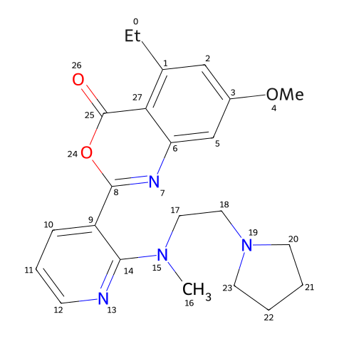 CCc1cc(OC)cc2nc(-c3cccnc3N(C)CCN3CCCC3)oc(=O)c12